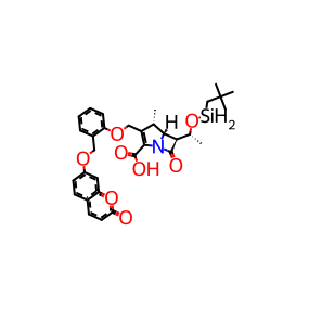 C[C@@H](O[SiH2]CC(C)(C)C)[C@H]1C(=O)N2C(C(=O)O)=C(COc3ccccc3COc3ccc4ccc(=O)oc4c3)[C@H](C)[C@H]12